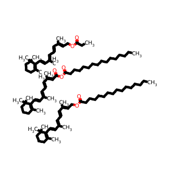 CCC(=O)OCC=C(C)C=CC=C(C)C=CC1=C(C)CCCC1(C)C.CCCCCCCCCCCCCCCC(=O)OC(=O)C=C(C)C=CC=C(C)C=CC1=C(C)CCCC1(C)C.CCCCCCCCCCCCCCCC(=O)OCC=C(C)C=CC=C(C)C=CC1=C(C)CCCC1(C)C